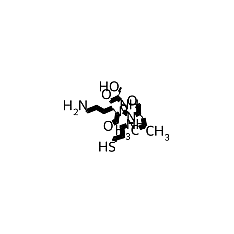 CC(C)C[C@@H](C=O)N(NCCCS)N(N[C@H](C=O)CO)[C@H](C=O)CCCCN